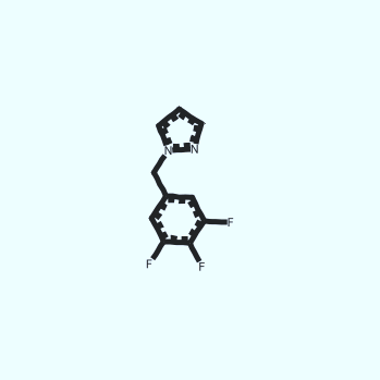 Fc1cc(Cn2cc[c]n2)cc(F)c1F